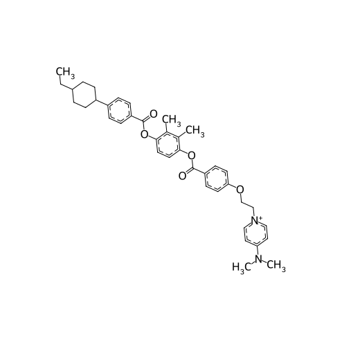 CCC1CCC(c2ccc(C(=O)Oc3ccc(OC(=O)c4ccc(OCC[n+]5ccc(N(C)C)cc5)cc4)c(C)c3C)cc2)CC1